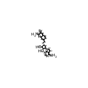 Nc1nc2cc(CC[C@@H]3CC(n4ccc5c(N)ncnc54)[C@H](O)[C@@H]3O)ccc2cc1Br